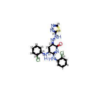 O=C1N=C(Nc2ccccc2Cl)C(Nc2ccccc2Cl)=CC1=NNc1nncs1